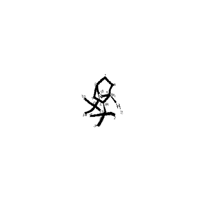 CC(C)(C)[C@H]1CC2CC[C@H]1N2C(C)(C)C